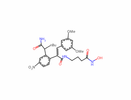 CCCCC(C(N)=O)c1cc([N+](=O)[O-])ccc1C(=Cc1cc(OC)cc(OC)c1)C(=O)NCCCC(=O)NO